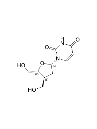 O=c1ccn([C@@H]2C[C@@H](CO)[C@H](CO)O2)c(=O)[nH]1